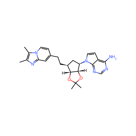 Cc1nc2cc(CC[C@H]3C[C@@H](n4ccc5c(N)ncnc54)[C@@H]4OC(C)(C)O[C@H]34)ccn2c1C